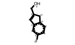 OCC1=Cc2cc(F)ccc2C1